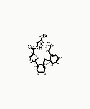 CC(C)(C)CCNC(=O)c1coc(-c2ccccc2Cc2ccccc2CCC(=O)O)n1